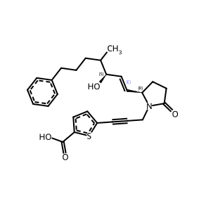 CC(CCCc1ccccc1)[C@H](O)/C=C/[C@H]1CCC(=O)N1CC#Cc1ccc(C(=O)O)s1